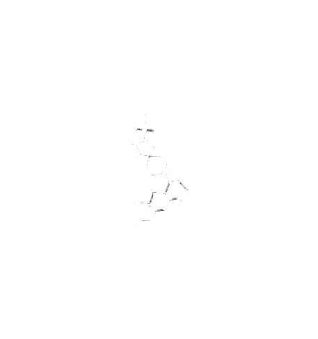 COc1cc2nccc(N3CCC4(CC3)CCN([S@](C)(=N)=O)C4)c2cc1F